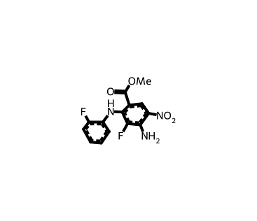 COC(=O)c1cc([N+](=O)[O-])c(N)c(F)c1Nc1ccccc1F